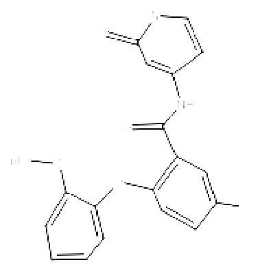 CCCOc1ccccc1Oc1ccc(C(F)(F)F)cc1C(=O)Nc1cc[nH]c(=O)c1